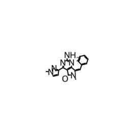 CN1C(=O)c2c(nc(N)nc2-c2ccn(C)n2)/C1=C\c1ccccc1